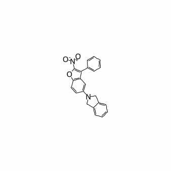 O=[N+]([O-])c1oc2ccc(N3Cc4ccccc4C3)cc2c1-c1ccccc1